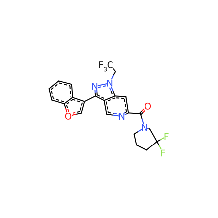 O=C(c1cc2c(cn1)c(-c1coc3ccccc13)nn2CC(F)(F)F)N1CCCC(F)(F)C1